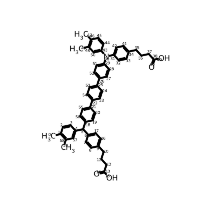 Cc1ccc(C(c2ccc(CCCC(=O)O)cc2)c2ccc(-c3ccc(-c4ccc(N(c5ccc(CCCC(=O)O)cc5)c5ccc(C)c(C)c5)cc4)cc3)cc2)cc1C